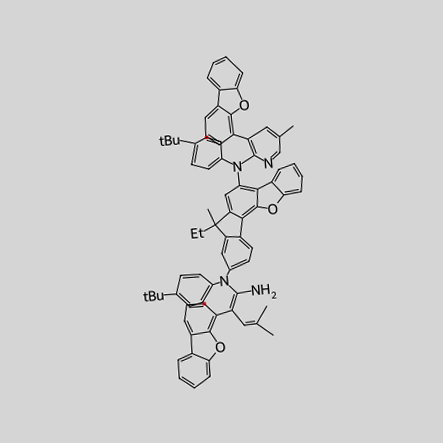 CCC1(C)c2cc(N(/C(N)=C(/C=C(C)C)c3cccc4c3oc3ccccc34)c3ccc(C(C)(C)C)cc3)ccc2-c2c1cc(N(c1ccc(C(C)(C)C)cc1)c1ncc(C)cc1-c1cccc3c1oc1ccccc13)c1c2oc2ccccc21